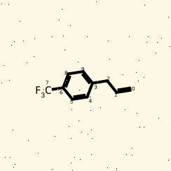 C=CCc1[c]cc(C(F)(F)F)cc1